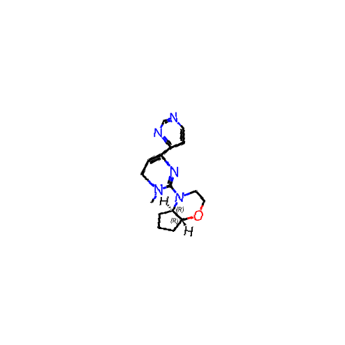 CN1CC=C(c2ccncn2)N=C1N1CCO[C@@H]2CCC[C@H]21